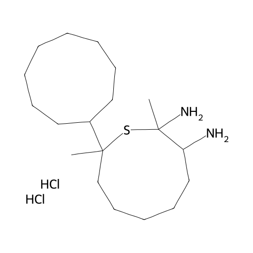 CC1(N)SC(C)(C2CCCCCCCC2)CCCCCC1N.Cl.Cl